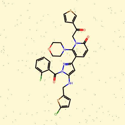 O=C(Cn1c(N2CCOCC2)c(-c2cc(NCc3ccc(Cl)s3)n(C(=O)c3ccccc3F)n2)ccc1=O)c1ccsc1